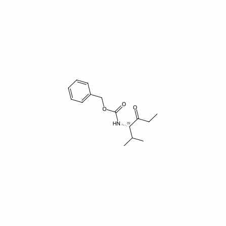 CCC(=O)[C@@H](NC(=O)OCc1ccccc1)C(C)C